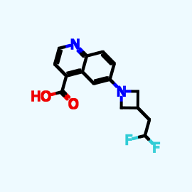 O=C(O)c1ccnc2ccc(N3CC(CC(F)F)C3)cc12